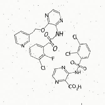 O=C(O)c1nccnc1NS(=O)(=O)c1cccc(Cl)c1Cl.O=S(=O)(Nc1nccnc1OCc1cccnc1)c1cccc(Cl)c1F